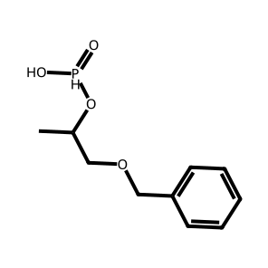 CC(COCc1ccccc1)O[PH](=O)O